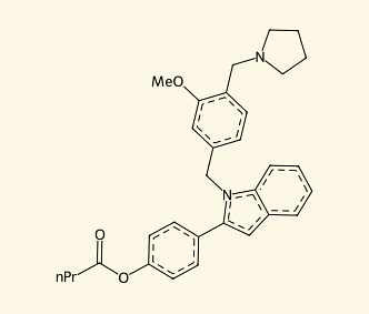 CCCC(=O)Oc1ccc(-c2cc3ccccc3n2Cc2ccc(CN3CCCC3)c(OC)c2)cc1